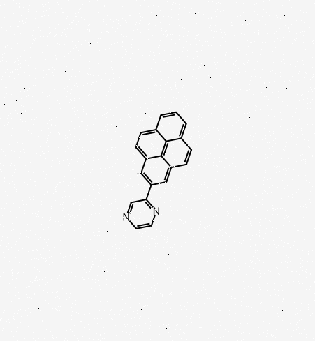 [c]1c(-c2cnccn2)cc2ccc3cccc4ccc1c2c43